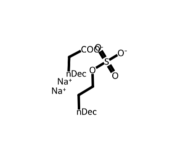 CCCCCCCCCCCC(=O)[O-].CCCCCCCCCCCCOS(=O)(=O)[O-].[Na+].[Na+]